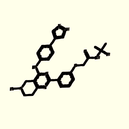 CCC(C)(C)NC(=O)COc1cccc(-c2nc3c(c(Nc4ccc(-c5cn[nH]c5)cc4)n2)CN(C(C)C)CC3)c1